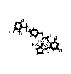 C[C@@]1(C(=O)N[C@@H](Cc2ccc(NC(=O)c3c(Cl)cnc(O)c3Cl)cc2)C(=O)O)CCCN1S(=O)(=O)c1cc(Cl)cc(Cl)c1